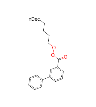 [CH2]CCCCCCCCCCCCCOOC(=O)c1cccc(-c2ccccc2)c1